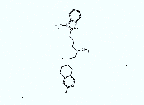 CN(CCCc1nc2ccccc2n1C)CC[C@H]1CCc2cc(F)ccc2C1